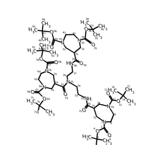 CC(C)(C)OC(=O)N1CCN(C(=O)OC(C)(C)C)CC(C(=O)NCCN(CCNC(=O)C2CN(C(=O)OC(C)(C)C)CCN(C(=O)OC(C)(C)C)C2)C(=O)C2CN(C(=O)OC(C)(C)C)CCN(C(=O)OC(C)(C)I)C2)C1